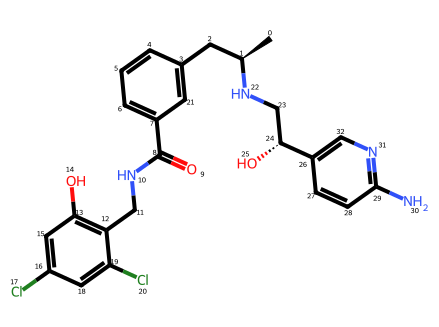 C[C@H](Cc1cccc(C(=O)NCc2c(O)cc(Cl)cc2Cl)c1)NC[C@@H](O)c1ccc(N)nc1